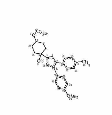 CCOC(=O)OC1CCC(O)(c2cc(-c3ccc(C)cc3)n(-c3ccc(OC)cc3)n2)CC1